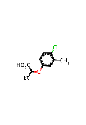 CCC(Oc1ccc(Cl)c(C)c1)C(=O)O